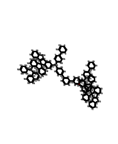 c1ccc(-c2ccc(N(c3ccc(-c4cccc(-c5ccc(N(c6ccc(-c7ccccc7)cc6)c6ccc7c(c6)-c6ccccc6C76c7c(cccc7N(c7ccccc7)c7cccc8ccccc78)-c7sc8ccccc8c76)cc5)c4)cc3)c3ccc4c(c3)-c3sc5ccccc5c3C43c4ccccc4-c4c(N(c5ccccc5)c5cccc6ccccc56)cccc43)cc2)cc1